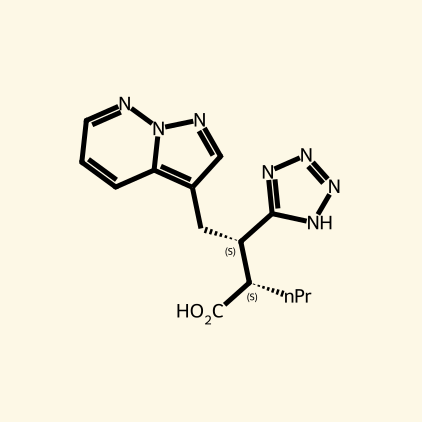 CCC[C@H](C(=O)O)[C@H](Cc1cnn2ncccc12)c1nnn[nH]1